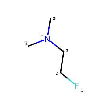 CN(C)[CH]CF